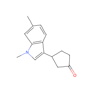 Cc1ccc2c(C3CCC(=O)C3)cn(C)c2c1